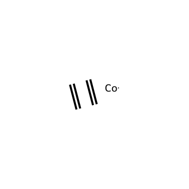 C=C.C=C.[Co]